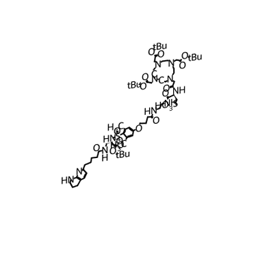 Cc1cc(OCCCC(=O)NCCNC(=O)[C@H](CS(=O)(=O)O)NC(=O)CN2CCN(CC(=O)OC(C)(C)C)CCN(CC(=O)OC(C)(C)C)CCN(CC(=O)OC(C)(C)C)CC2)cc(C)c1S(=O)(=O)N[C@@H](CNC(=O)CCCCc1ccc2c(n1)NCCC2)C(=O)OC(C)(C)C